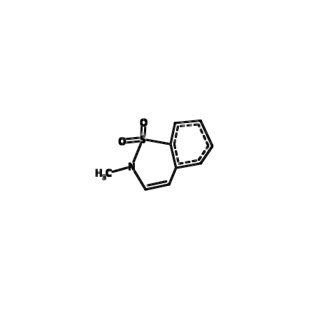 CN1C=Cc2ccccc2S1(=O)=O